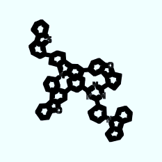 c1ccc(-n2c3ccc(-c4ccc5oc6cccc(-c7nc(-c8cccc(-c9ccc%10c(c9)oc9ccccc9%10)c8)nc(-c8cccc(-n9c%10ccccc%10c%10ccccc%109)c8)n7)c6c5c4)cc3c3ccc(-c4cccc5c4sc4ccccc45)cc32)cc1